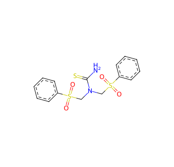 NC(=S)N(CS(=O)(=O)c1ccccc1)CS(=O)(=O)c1ccccc1